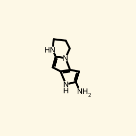 Nc1cc2c(cc3n2CCCN3)[nH]1